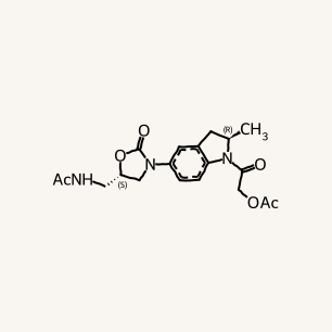 CC(=O)NC[C@H]1CN(c2ccc3c(c2)C[C@@H](C)N3C(=O)COC(C)=O)C(=O)O1